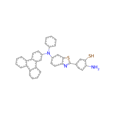 Nc1ccc(-c2nc3ccc(N(c4ccccc4)c4ccc5c6ccccc6c6ccccc6c5c4)cc3s2)cc1S